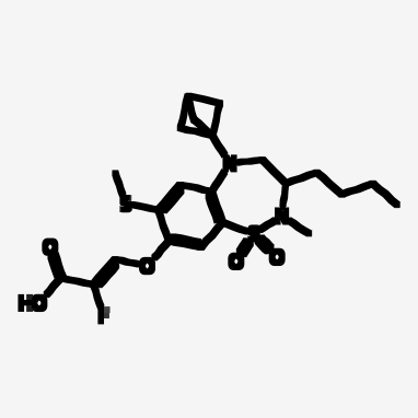 CCCCC1CN(C23CC(C2)C3)c2cc(SC)c(OC=C(F)C(=O)O)cc2S(=O)(=O)N1C